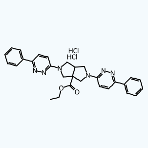 CCOC(=O)C12CN(c3ccc(-c4ccccc4)nn3)CC1CN(c1ccc(-c3ccccc3)nn1)C2.Cl.Cl